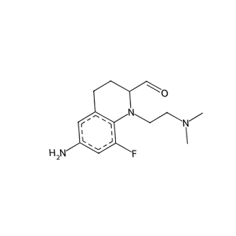 CN(C)CCN1c2c(F)cc(N)cc2CCC1C=O